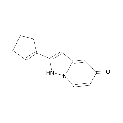 O=c1ccn2[nH]c(C3=CCCC3)cc2c1